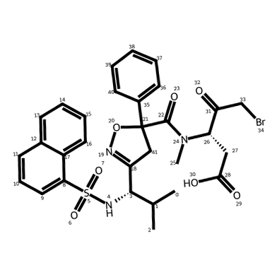 CC(C)[C@H](NS(=O)(=O)c1cccc2ccccc12)C1=NOC(C(=O)N(C)[C@@H](CC(=O)O)C(=O)CBr)(c2ccccc2)C1